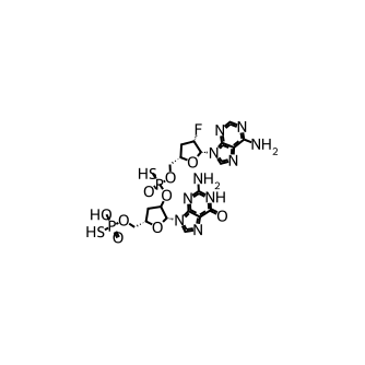 Nc1nc2c(ncn2[C@@H]2O[C@H](COP(=O)(O)S)CC2OP(=O)(S)OC[C@@H]2C[C@H](F)[C@H](n3cnc4c(N)ncnc43)O2)c(=O)[nH]1